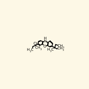 CCC(C)(C)c1ccc2c(c1)Oc1cc(C(C)(CC)CC)ccc1N2